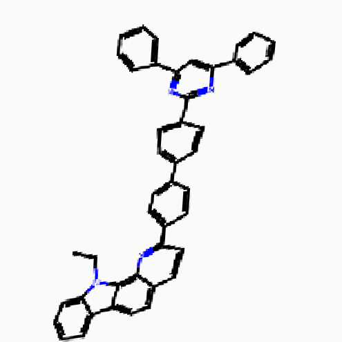 CCn1c2ccccc2c2ccc3ccc(-c4ccc(-c5ccc(-c6nc(-c7ccccc7)cc(-c7ccccc7)n6)cc5)cc4)nc3c21